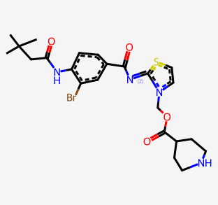 CC(C)(C)CC(=O)Nc1ccc(C(=O)/N=c2\sccn2COC(=O)C2CCNCC2)cc1Br